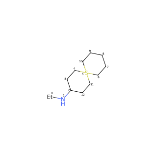 CCNC1CCS2(CCCCC2)CC1